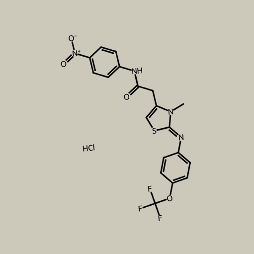 Cl.Cn1c(CC(=O)Nc2ccc([N+](=O)[O-])cc2)csc1=Nc1ccc(OC(F)(F)F)cc1